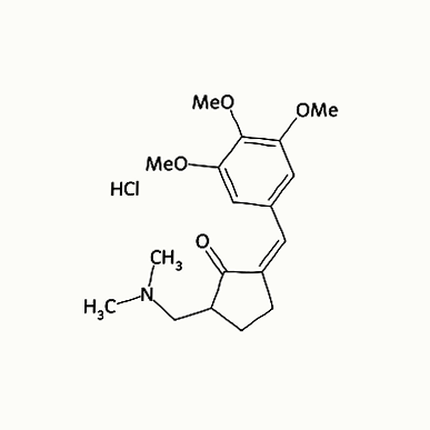 COc1cc(/C=C2/CCC(CN(C)C)C2=O)cc(OC)c1OC.Cl